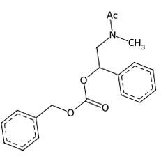 CC(=O)N(C)CC(OC(=O)OCc1ccccc1)c1ccccc1